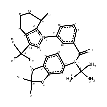 BC(B)(B)N(C(=O)c1cccc(-n2nc(C(F)(F)F)c3c2C(C)CCC3)c1)c1ccc2c(c1)OC(F)(F)O2